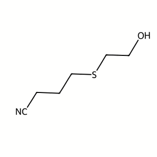 N#CCCCSCCO